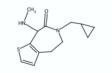 CNC1C(=O)N(CC2CC2)CCc2ccsc21